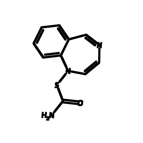 NC(=O)SN1C=CN=Cc2ccccc21